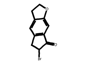 O=C1c2cc3c(cc2CC1Br)CCO3